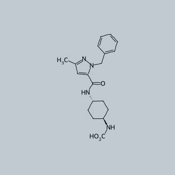 Cc1cc(C(=O)N[C@H]2CC[C@H](NC(=O)O)CC2)n(Cc2ccccc2)n1